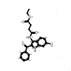 CCOC(=O)CCC(=O)Nc1c(C(=O)c2ccccc2)[nH]c2cc(Cl)ccc12